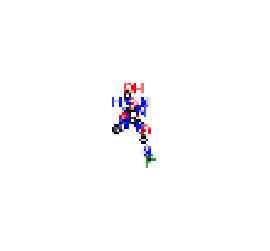 Cc1c(-c2c(C(=O)Nc3ccc(O)cc3)c(C)n(C)c2-c2cc3c(cc2C(=O)N2Cc4ccccc4C[C@H]2C)CN(C(=O)Cc2ccc(CCN4CCC(F)(F)CC4)cc2)CC3)cc(C#N)n1C